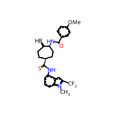 B=C1CC[C@H](C(=S)Nc2cccc3c2cc(C(F)(F)F)n3C)CC[C@@H]1NC(=O)c1ccc(OC)cc1